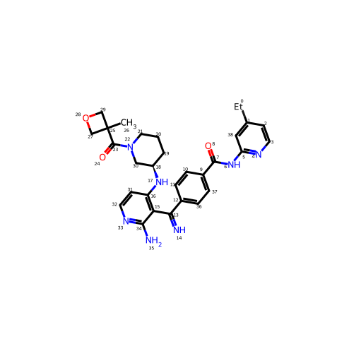 CCc1ccnc(NC(=O)c2ccc(C(=N)c3c(N[C@@H]4CCCN(C(=O)C5(C)COC5)C4)ccnc3N)cc2)c1